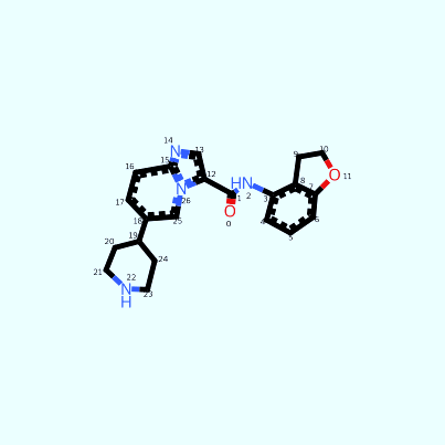 O=C(Nc1cccc2c1CCO2)c1cnc2ccc(C3CCNCC3)cn12